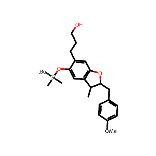 COc1ccc(CC2Oc3cc(CCCO)c(O[Si](C)(C)C(C)(C)C)cc3C2C)cc1